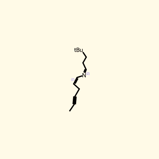 CC#CC/C=C\N=C/CCC(C)(C)C